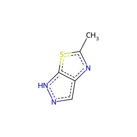 Cc1nc2cn[nH]c2s1